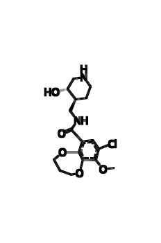 COc1c(Cl)cc(C(=O)NC[C@@H]2CCNC[C@H]2O)c2c1OCCCO2